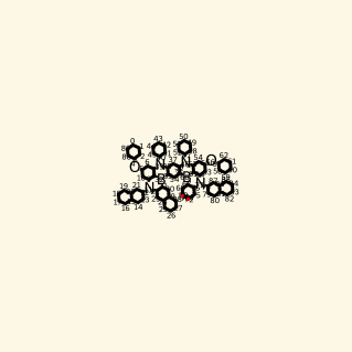 c1ccc(Oc2cc3c4c(c2)N(c2ccc5ccccc5c2)c2cc5ccccc5cc2B4c2cc4c(cc2N3c2ccccc2)N(c2ccccc2)c2cc(Oc3ccccc3)cc3c2B4c2cc4ccccc4cc2N3c2ccc3ccccc3c2)cc1